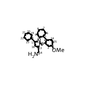 COc1ccc(-c2ccccc2-n2nc(CN)cc2-c2ccccc2)cc1